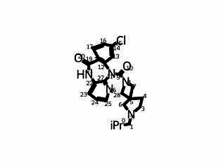 CC(C)CN1CCC2(C1)CN(C(=O)N1c3cc(Cl)ccc3C(=O)Nc3cccnc31)C2